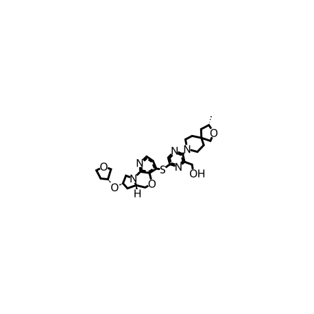 C[C@H]1CC2(CCN(c3ncc(Sc4ccnc5c4OC[C@@H]4C[C@H](O[C@@H]6CCOC6)CN54)nc3CO)CC2)CO1